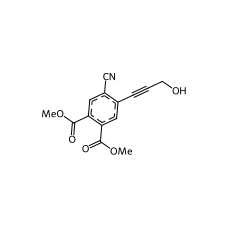 COC(=O)c1cc(C#N)c(C#CCO)cc1C(=O)OC